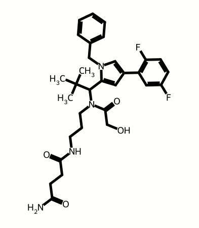 CC(C)(C)C(c1cc(-c2cc(F)ccc2F)cn1Cc1ccccc1)N(CCCNC(=O)CCC(N)=O)C(=O)CO